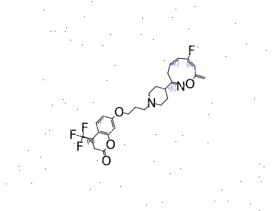 C=C1/C=C(F)\C=C/C/C(C2CCN(CCCOc3ccc4c(c3)OC(=O)C[C@H]4C(F)(F)F)CC2)=N\O1